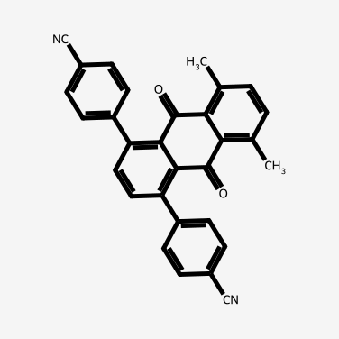 Cc1ccc(C)c2c1C(=O)c1c(-c3ccc(C#N)cc3)ccc(-c3ccc(C#N)cc3)c1C2=O